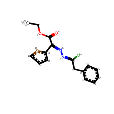 CCOC(=O)C(=NN=C(Cl)Cc1ccccc1)c1cccs1